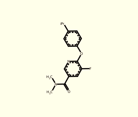 CC(C)c1ccc(Oc2ncc(C(=O)N(C)C)cc2F)cc1